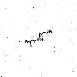 CC(C)CCC1CC2(C1)CC(CCC(C)C(C)C)N2